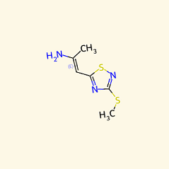 CSc1nsc(/C=C(\C)N)n1